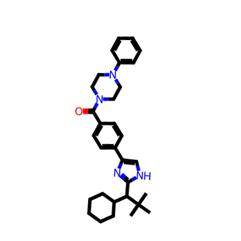 CC(C)(C)C(c1nc(-c2ccc(C(=O)N3CCN(c4ccccc4)CC3)cc2)c[nH]1)C1CCCCC1